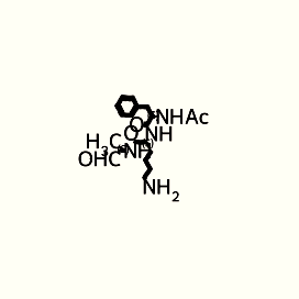 CC(=O)N[C@@H](Cc1ccccc1)C(=O)N[C@@H](CCCCN)C(=O)N[C@@H](C)[C]=O